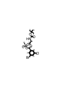 CC(C)(C)OC(=O)NCCOC(OS(C)(=O)=O)c1cc(Cl)cc(Br)c1